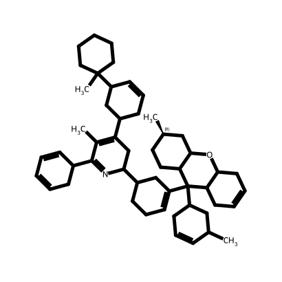 CC1=C(C2CC=CC(C3(C)CCCCC3)C2)CC(C2CCC=C(C3(C4CC=CC(C)C4)C4CC=CCC4OC4C[C@H](C)CCC43)C2)N=C1C1C=CC=CC1